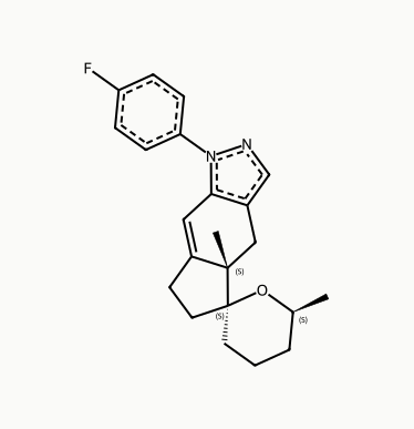 C[C@H]1CCC[C@@]2(CCC3=Cc4c(cnn4-c4ccc(F)cc4)C[C@@]32C)O1